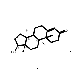 CC12CCC(=O)C=C1CCC1[C@@H]2CC[C@]2(C)[C@@H](O)CC[C@@H]12